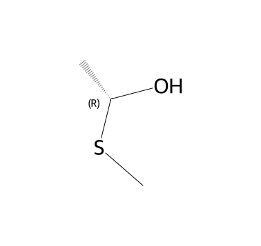 CS[C@H](C)O